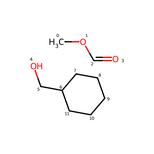 COC=O.OCC1CCCCC1